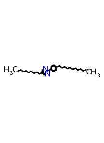 CCCCCCCCCCCCc1ccc(-c2ncc(CCCCCCCCCC)cn2)cc1